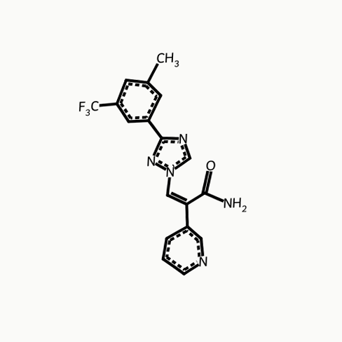 Cc1cc(-c2ncn(/C=C(\C(N)=O)c3cccnc3)n2)cc(C(F)(F)F)c1